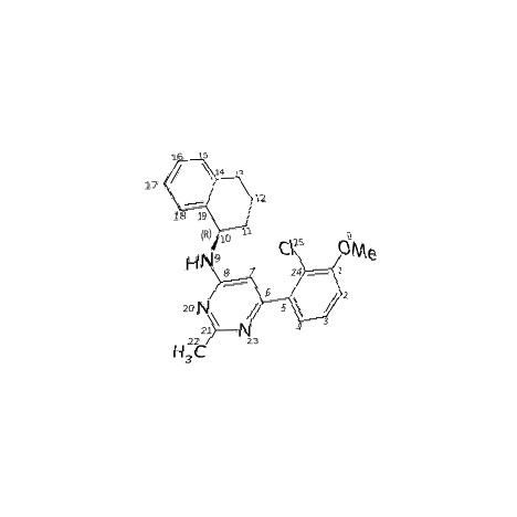 COc1cccc(-c2cc(N[C@@H]3CCCc4ccccc43)nc(C)n2)c1Cl